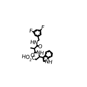 CC(C(=O)NCc1cc(F)cc(F)c1)C(=O)NC(CC(=O)O)c1c[nH]c2ccccc12